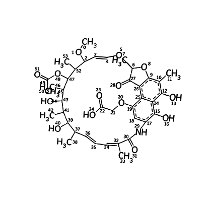 COC1/C=C/OC2(C)Oc3c(C)c(O)c4c(O)c(cc(OCC(=O)O)c4c3C2=O)NC(=O)/C(C)=C\C=C\C(C)C(O)C(C)C(O)C(C)C(OC(C)=O)C1C